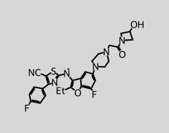 CCc1oc2c(F)cc(N3CCN(CC(=O)N4CC(O)C4)CC3)cc2c1N(C)c1nc(-c2ccc(F)cc2)c(C#N)s1